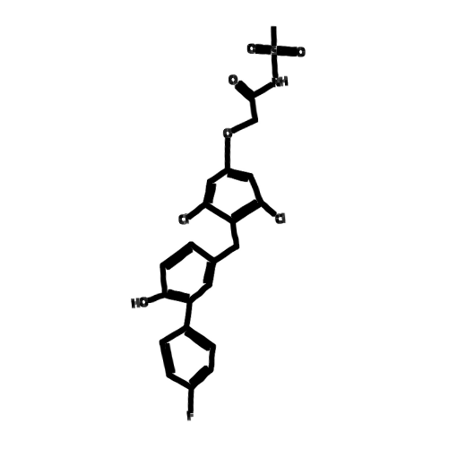 CS(=O)(=O)NC(=O)COc1cc(Cl)c(Cc2ccc(O)c(-c3ccc(F)cc3)c2)c(Cl)c1